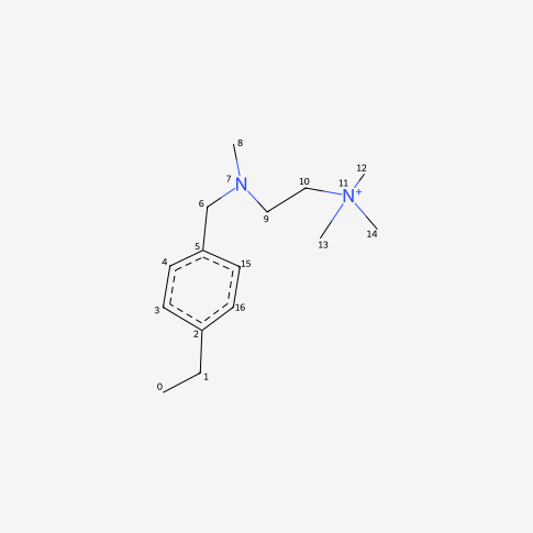 CCc1ccc(CN(C)CC[N+](C)(C)C)cc1